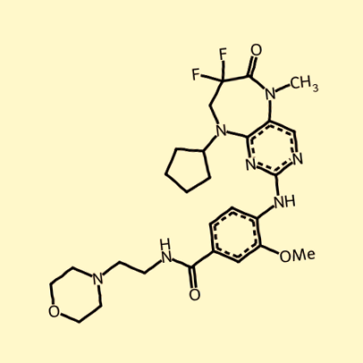 COc1cc(C(=O)NCCN2CCOCC2)ccc1Nc1ncc2c(n1)N(C1CCCC1)CC(F)(F)C(=O)N2C